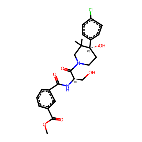 COC(=O)c1cccc(C(=O)N[C@H](CO)C(=O)N2CC[C@](O)(c3ccc(Cl)cc3)C(C)(C)C2)c1